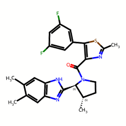 Cc1nc(C(=O)N2CC[C@H](C)[C@H]2c2nc3cc(C)c(C)cc3[nH]2)c(-c2cc(F)cc(F)c2)s1